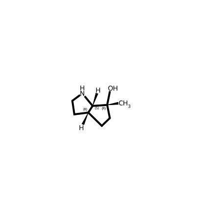 C[C@@]1(O)CC[C@@H]2CCN[C@@H]21